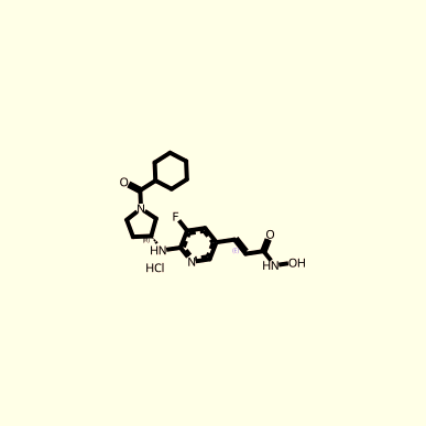 Cl.O=C(/C=C/c1cnc(N[C@@H]2CCN(C(=O)C3CCCCC3)C2)c(F)c1)NO